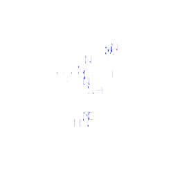 O=C(O)C(CC(C(=O)O)N1CC(NCCCCCc2ccc3c(n2)NCCC3)C1)N1CCC(NCCCCc2ccc3c(n2)NCCC3)CC1